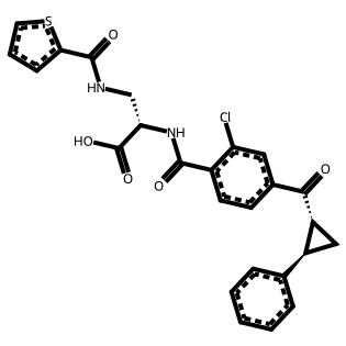 O=C(NC[C@H](NC(=O)c1ccc(C(=O)[C@@H]2C[C@H]2c2ccccc2)cc1Cl)C(=O)O)c1cccs1